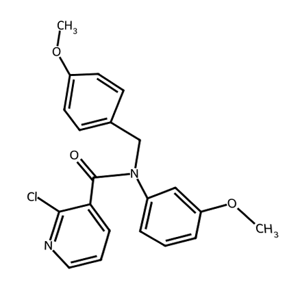 COc1ccc(CN(C(=O)c2cccnc2Cl)c2cccc(OC)c2)cc1